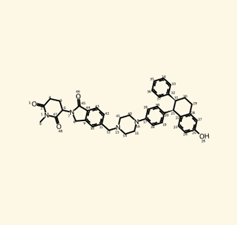 CN1C(=O)CCC(N2Cc3cc(CN4CCN(c5ccc([C@@H]6c7ccc(O)cc7CC[C@@H]6c6ccccc6)cc5)CC4)ccc3C2=O)C1=O